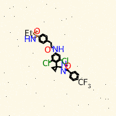 CCS(=N)(=O)c1ccc(CC(=O)Nc2cc(Cl)c(C3(c4noc(-c5ccc(C(F)(F)F)cc5)n4)CC3)c(Cl)c2)cc1